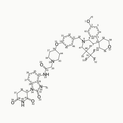 COc1ccc(C2(CCN(Cc3ccc(OC4CCN(CC(=O)Nc5cccc6c5n(C)c(=O)n6C5CCC(=O)NC5=O)CC4)cc3)CC(C)(C)C(F)(F)F)CCOCC2)cc1